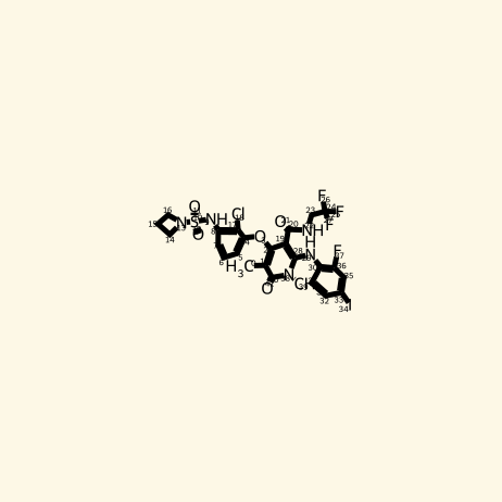 Cc1c(Oc2cccc(NS(=O)(=O)N3CCC3)c2Cl)c(C(=O)NCC(F)(F)F)c(Nc2ccc(I)cc2F)n(C)c1=O